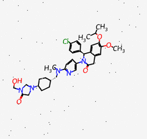 COc1cc2c(cc1OC(C)C)[C@H](c1ccc(Cl)cc1)N(c1ccc(N(C)C[C@H]3CC[C@H](N4CC(=O)N(CO)C4)CC3)nc1)C(=O)C2